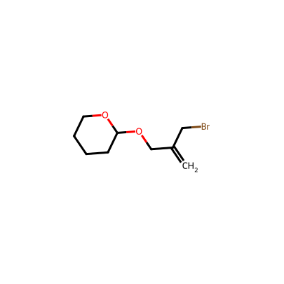 C=C(CBr)COC1CCCCO1